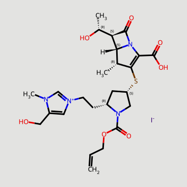 C=CCOC(=O)N1C[C@@H](SC2=C(C(=O)O)N3C(=O)[C@H]([C@@H](C)O)[C@H]3[C@H]2C)C[C@H]1CC[n+]1cc(CO)n(C)c1.[I-]